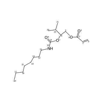 C=CC(=O)OCC(OC(=O)NCCCCCCCC)C(C)C